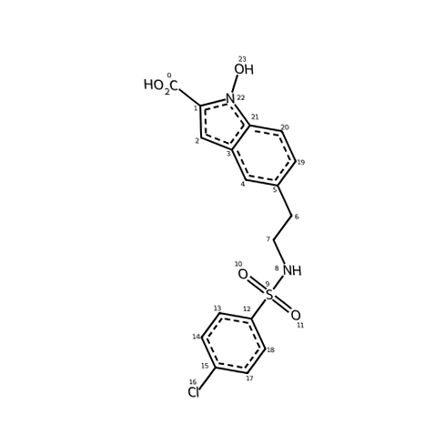 O=C(O)c1cc2cc(CCNS(=O)(=O)c3ccc(Cl)cc3)ccc2n1O